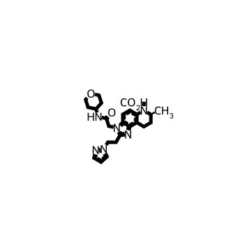 C[C@H]1CCc2c(ccc3c2nc(CCn2cccn2)n3CC(=O)NC2CCOCC2)N1C(=O)O